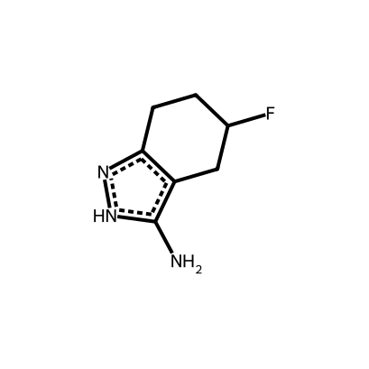 Nc1[nH]nc2c1CC(F)CC2